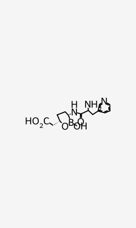 NC(Cc1cccnc1)C(=O)N[C@H]1CC[C@@H](CC(=O)O)OB1O